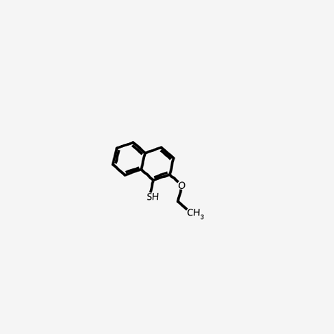 CCOc1ccc2ccccc2c1S